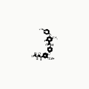 CCCCN1CCC(Oc2cc(F)c(C(=O)Nc3ccc(Oc4ccc(NC(=O)NC(CC)CC)cc4OC)cc3)cc2C)CC1